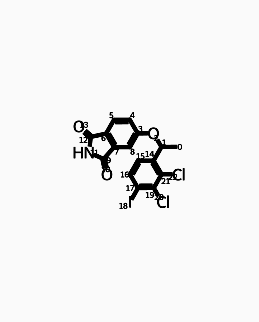 CC(Oc1ccc2c(c1)C(=O)NC2=O)c1ccc(I)c(Cl)c1Cl